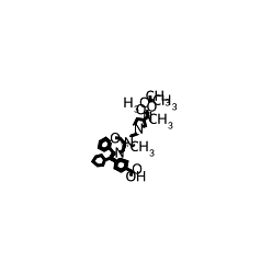 CN(C(=O)OC(C)(C)C)C1CCN(CCN(C)[C@H]2COc3ccccc3-c3c(C4CCCCC4)c4ccc(C(=O)O)cc4n3C2)C1